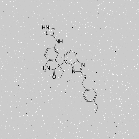 CCc1ccc(CSc2nc3cccn(C(CC)(C(N)=O)c4cc(NC5CNC5)ccc4C)c-3n2)cc1